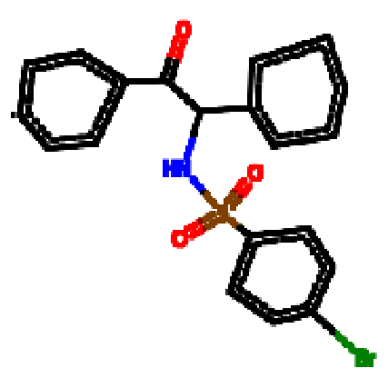 O=C(c1cc[c]cc1)C(NS(=O)(=O)c1ccc(Br)cc1)c1ccccc1